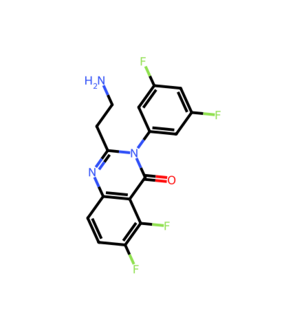 NCCc1nc2ccc(F)c(F)c2c(=O)n1-c1cc(F)cc(F)c1